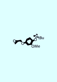 COc1cc(OCC2CO2)ccc1O[Si](C)(C)C(C)(C)C